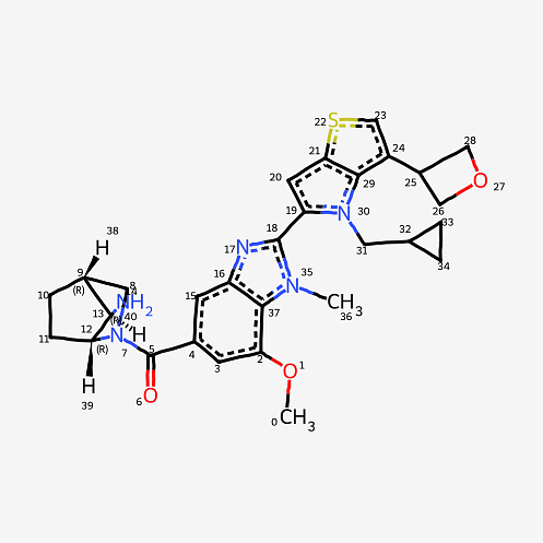 COc1cc(C(=O)N2C[C@H]3CC[C@@H]2[C@@H]3N)cc2nc(-c3cc4scc(C5COC5)c4n3CC3CC3)n(C)c12